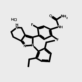 CCc1cccc(CC)c1-n1nc2c(c1-c1cc(F)c(NC(N)=O)cc1F)CNCC2.Cl